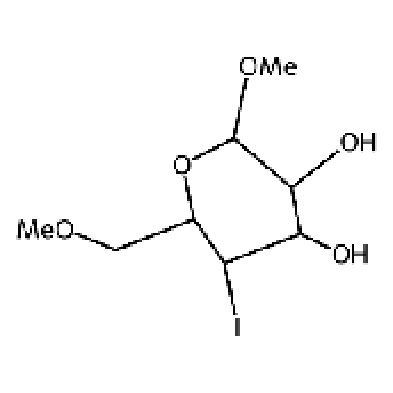 COCC1OC(OC)C(O)C(O)C1I